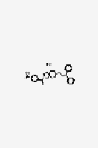 Cl.O=C(O)c1ccc(C(=O)N2CCC3(CCN(CCC(c4ccccc4)c4ccccc4)CC3)C2)cc1